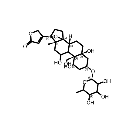 CC1O[C@@H](O[C@H]2C[C@@H](O)[C@]3(CO)C4C(O)C[C@]5(C)[C@@H](C6=CC(=O)OC6)CC[C@]5(O)[C@@H]4CC[C@]3(O)C2)C(O)C(O)[C@H]1O